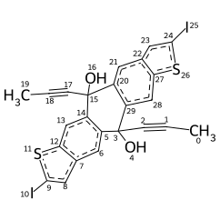 CC#CC1(O)c2cc3cc(I)sc3cc2C(O)(C#CC)c2cc3cc(I)sc3cc21